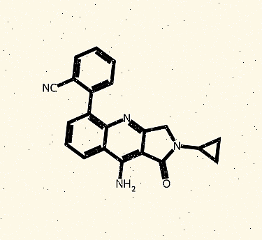 N#Cc1ccccc1-c1cccc2c(N)c3c(nc12)CN(C1CC1)C3=O